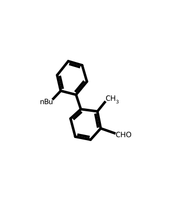 CCCCc1ccccc1-c1cccc(C=O)c1C